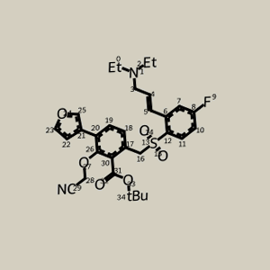 CCN(CC)CC=Cc1cc(F)ccc1S(=O)(=O)Cc1ccc(-c2ccoc2)c(OCC#N)c1C(=O)OC(C)(C)C